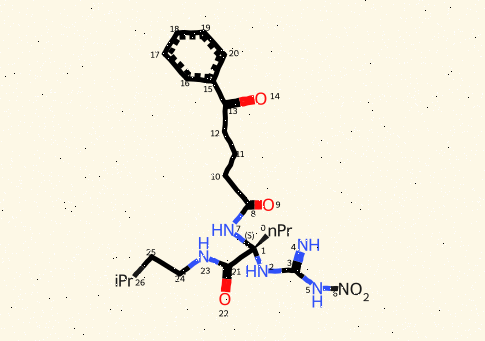 CCC[C@](NC(=N)N[N+](=O)[O-])(NC(=O)CCCC(=O)c1ccccc1)C(=O)N[CH]CC(C)C